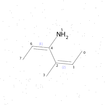 C/C=C(C)\C(N)=C/C